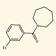 CCc1cccc(C(=O)N2CCCCCC2)c1